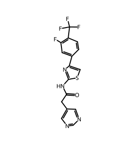 O=C(Cc1cncnc1)Nc1nc(-c2ccc(C(F)(F)F)c(F)c2)cs1